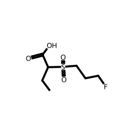 CCC(C(=O)O)S(=O)(=O)CCCF